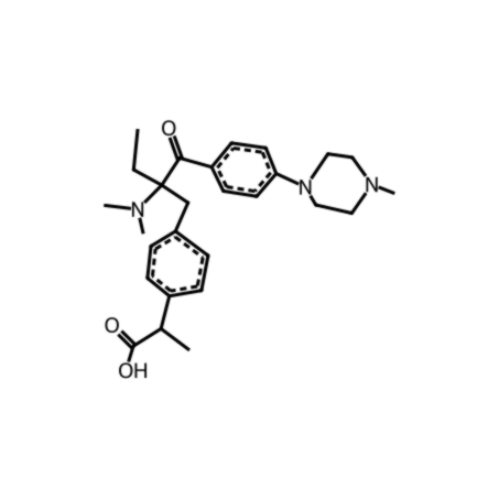 CCC(Cc1ccc(C(C)C(=O)O)cc1)(C(=O)c1ccc(N2CCN(C)CC2)cc1)N(C)C